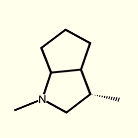 C[C@@H]1CN(C)C2CCCC21